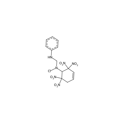 O=[N+]([O-])C1([N+](=O)[O-])C=CCC([N+](=O)[O-])([N+](=O)[O-])C1N(Cl)CNc1ccccc1